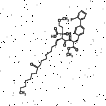 CCCCCCCC(=O)CCCCCCC=C[C@H](C(=O)N[C@@H](Cc1ccc(-c2ccccc2F)cc1)C(=O)OC)[C@@](O)(CCOC)C(=O)O